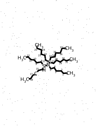 CCCCCCN([SiH](CCCCCC)CCCCCC)[Si](CCCCCC)(CCCCCC)CCCCCC